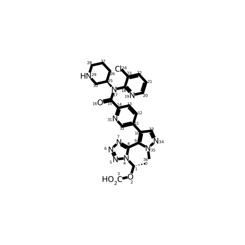 C[C@H](OC(=O)O)n1nnnc1-c1c(-c2ccc(C(=O)N(c3ncccc3Cl)[C@@H]3CCCNC3)nc2)cnn1C